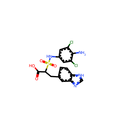 Nc1c(Cl)cc(NS(=O)(=O)C(Cc2ccc3[nH]cnc3c2)C(=O)O)cc1Cl